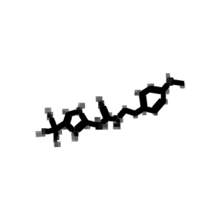 COc1ccc(CCNC(=S)Nc2nc(C(F)(F)F)cs2)cc1